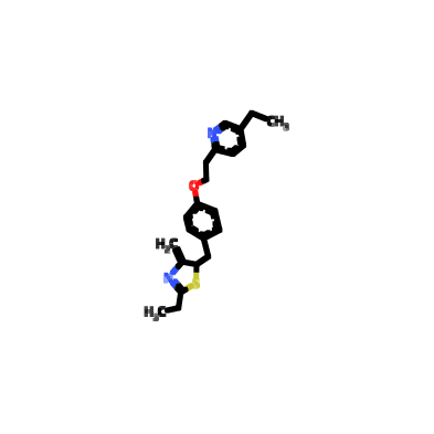 C=C1N=C(CC)SC1Cc1ccc(OCCc2ccc(CC)cn2)cc1